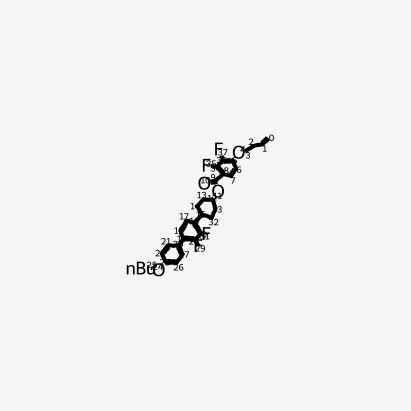 C=CCCOc1ccc(C(=O)OC2CCC(c3ccc(-c4ccc(OCCCC)cc4)c(F)c3F)CC2)c(F)c1F